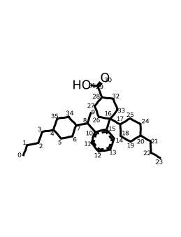 CCCCC1CCC(C(C)c2ccccc2C2(C3CCC(CCC)CC3)CCC(C(=O)O)CC2)CC1